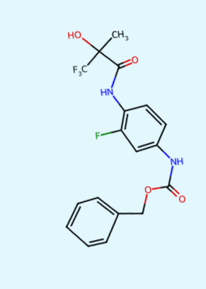 CC(O)(C(=O)Nc1ccc(NC(=O)OCc2ccccc2)cc1F)C(F)(F)F